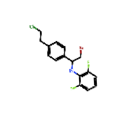 Fc1cccc(F)c1NC(CBr)c1ccc(CCCl)cc1